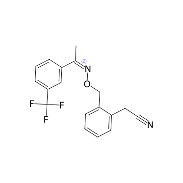 C/C(=N/OCc1ccccc1CC#N)c1cccc(C(F)(F)F)c1